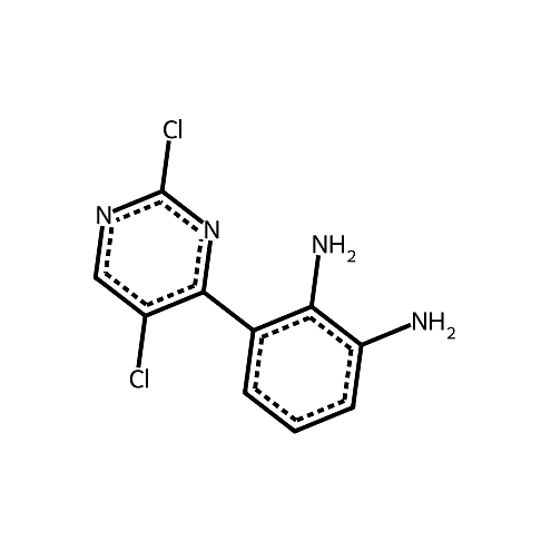 Nc1cccc(-c2nc(Cl)ncc2Cl)c1N